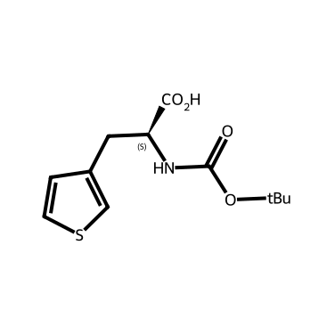 CC(C)(C)OC(=O)N[C@@H](Cc1ccsc1)C(=O)O